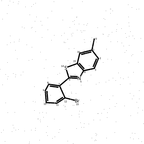 Cc1ccc2nc(-c3ccccc3Br)sc2c1